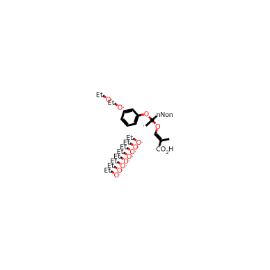 [CH2]C(CCCCCCCCC)(OC=C(C)C(=O)O)Oc1ccccc1.[CH2]C[O].[CH2]C[O].[CH2]C[O].[CH2]C[O].[CH2]C[O].[CH2]C[O].[CH2]C[O].[CH2]C[O].[CH2]C[O].[CH2]C[O]